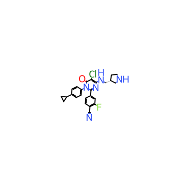 N#Cc1ccc(-c2nc(NC[C@@H]3CCNC3)c(Cl)c(=O)n2-c2ccc(C3CC3)cc2)cc1F